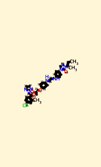 CCC(C)n1ncn(-c2ccc(NCCNc3ccc(OC[C@@H]4CO[C@@](Cn5nccn5)(c5ccc(Cl)cc5C)O4)cc3)cc2)c1=O